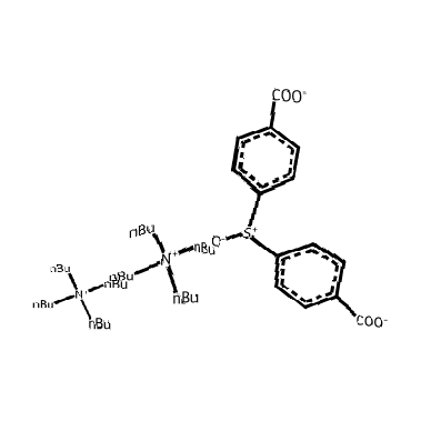 CCCC[N+](CCCC)(CCCC)CCCC.CCCC[N+](CCCC)(CCCC)CCCC.O=C([O-])c1ccc([S+]([O-])c2ccc(C(=O)[O-])cc2)cc1